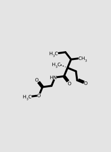 CCC(C)[C@@](C)(CC=O)C(=O)NCC(=O)OC